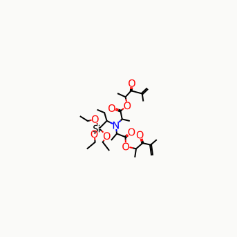 C=C(C)C(=O)C(C)OC(=O)C(C)N(C(C)C(=O)OC(C)C(=O)C(=C)C)C(CC)[Si](OCC)(OCC)OCC